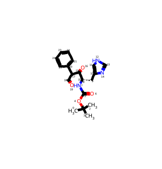 CC(C)(C)OC(=O)N[C@@H](Cc1c[nH]cn1)C(=O)C([C]=O)c1ccccc1